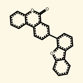 O=c1oc2ccccc2c2ccc(-c3cccc4c3oc3ccccc34)cc12